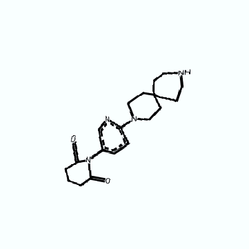 O=C1CCCC(=O)N1c1ccc(N2CCC3(CCNCC3)CC2)nc1